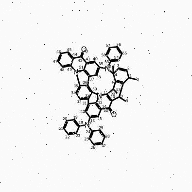 CC1C=CC2(C)C3=C1C(C)c1c(n4c5c(cc(N(c6ccccc6)c6ccccc6)cc5c5ccc6c(c7cc(cc8c(=O)c9ccccc9n6c87)N2c2ccccc2)c54)c1=O)C3C